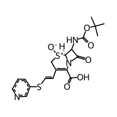 CC(C)(C)OC(=O)NC1C(=O)N2C(C(=O)O)=C(C=CSc3cccnc3)C[S+]([O-])[C@@H]12